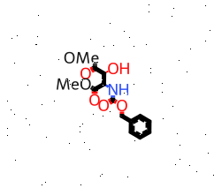 COC(=O)[C@H](O)[C@@H](NC(=O)OCc1ccccc1)C(=O)OC